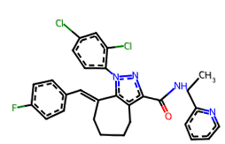 CC(NC(=O)c1nn(-c2ccc(Cl)cc2Cl)c2c1CCCC/C2=C\c1ccc(F)cc1)c1ccccn1